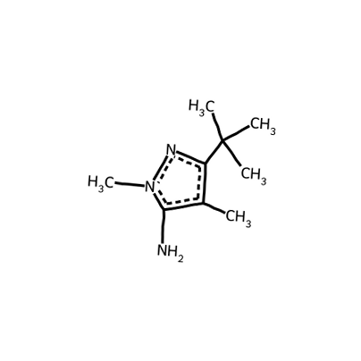 Cc1c(C(C)(C)C)nn(C)c1N